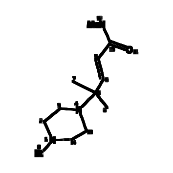 CCN1CCN(C(C)(C)/C=C/C(=O)NC)CC1